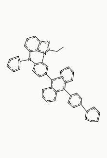 CCc1nc2cccc3c2n1-c1cc(-c2c4ccccc4c(-c4ccc(-c5ccccc5)cc4)c4ccccc24)ccc1N3c1ccccc1